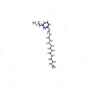 C=Cc1cccc(COCCCCCCCCCCCCBr)n1